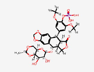 [2H]C([2H])([2H])Oc1cc([C@@H]2c3cc4c(cc3[C@@H](O[C@@H]3O[C@@H]5CO[C@@H](C)O[C@H]5[C@H](O)[C@H]3O)[C@@H]3[C@@H]2C(=O)OC3([2H])[2H])OCO4)cc(OC([2H])([2H])[2H])c1OP(=O)(O)O